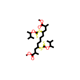 COC(=O)C(C)CC(CCCCC(CC(C)C(=O)OC)SC(=S)OC(C)C(C)C)SC(=S)OC(C)C(C)C